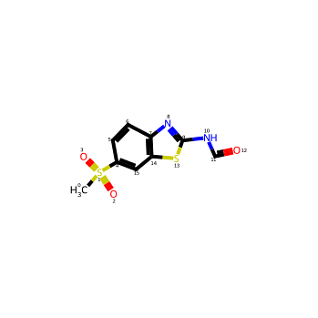 CS(=O)(=O)c1ccc2nc(NC=O)sc2c1